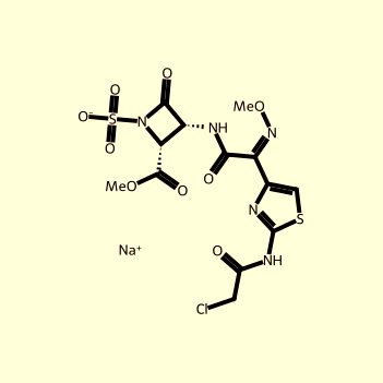 CO/N=C(\C(=O)N[C@H]1C(=O)N(S(=O)(=O)[O-])[C@H]1C(=O)OC)c1csc(NC(=O)CCl)n1.[Na+]